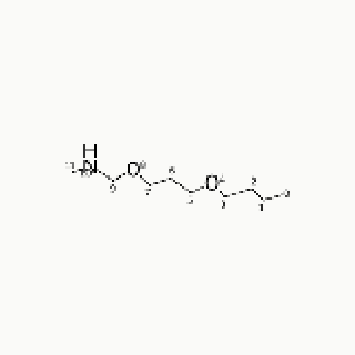 CCCCOCCCOCNC